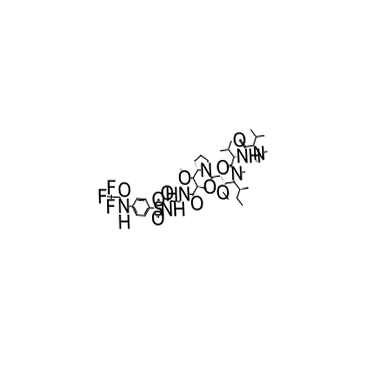 CC[C@H](C)[C@@H]([C@@H](CC(=O)N1CCC[C@H]1[C@H](OC)[C@@H](C)C(=O)NCC(=O)NS(=O)(=O)c1ccc(NC(=O)C(F)(F)F)cc1)OC)N(C)C(=O)[C@@H](NC(=O)C(C(C)C)N(C)C)C(C)C